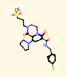 CS(=O)(=O)CCCN1CCn2c(c(N3CCCC3)cc(C(=O)NCc3ccc(Cl)cc3)c2=O)C1=O